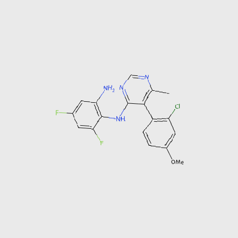 COc1ccc(-c2c(C)ncnc2Nc2c(N)cc(F)cc2F)c(Cl)c1